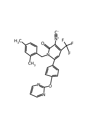 [C-]#[N+]c1c(C(F)(F)F)cc(-c2ccc(Oc3ncccn3)cc2)n(Cc2ccc(C)cc2C)c1=O